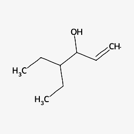 [CH]=CC(O)C(CC)CC